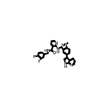 Cn1nc(Nc2ncccc2C(=O)NCc2ccc(F)c(F)c2)c2cc(-c3c[nH]c4ncccc34)ccc21